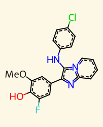 COc1cc(-c2nc3ccccn3c2Nc2ccc(Cl)cc2)cc(F)c1O